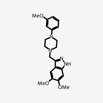 COc1cccc(N2CCN(Cc3n[nH]c4cc(OC)c(OC)cc34)CC2)c1